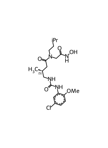 COc1ccc(Cl)cc1NC(=O)NC[C@@H](C)CC(=O)N(CCC(C)C)CC(=O)NO